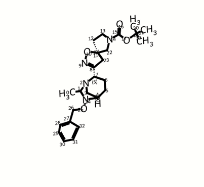 CC1N2C[C@H](CC[C@H]2C2=NO[C@]3(CCN(C(=O)OC(C)(C)C)C3)C2)N1OCc1ccccc1